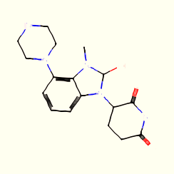 CN1c2c(N3CCNCC3)cccc2N(C2CCC(=O)NC2=O)C1O